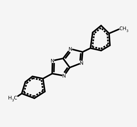 Cc1ccc(C2=NC3=NC(c4ccc(C)cc4)=NC3=N2)cc1